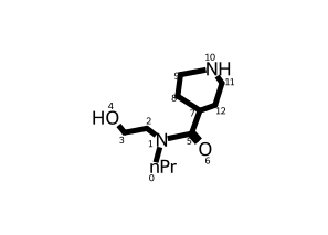 CCCN(CCO)C(=O)C1CCNCC1